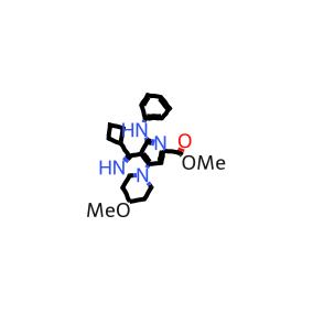 COC(=O)c1cc(N2CCC(OC)CC2)c(C(=N)C2CCC2)c(Nc2ccccc2)n1